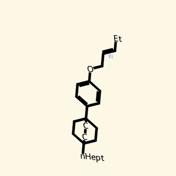 CC/C=C/COc1ccc(C23CCC(CCCCCCC)(CC2)CC3)cc1